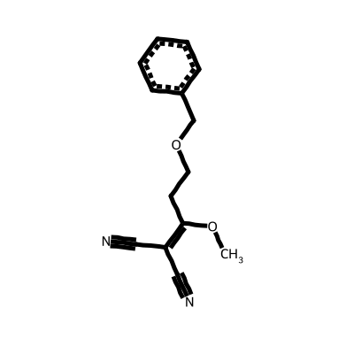 COC(CCOCc1ccccc1)=C(C#N)C#N